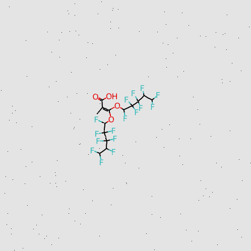 CC(C(=O)O)=C(OC(F)C(F)(F)C(F)(F)C(F)C(F)F)OC(F)C(F)(F)C(F)(F)C(F)C(F)F